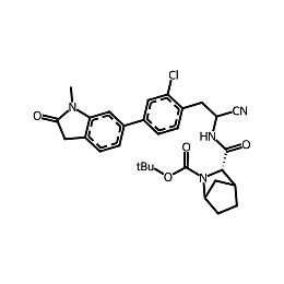 CN1C(=O)Cc2ccc(-c3ccc(CC(C#N)NC(=O)[C@@H]4C5CCC(C5)N4C(=O)OC(C)(C)C)c(Cl)c3)cc21